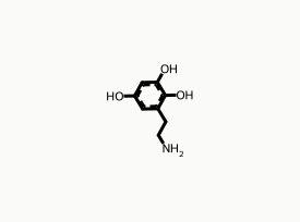 NCCc1cc(O)cc(O)c1O